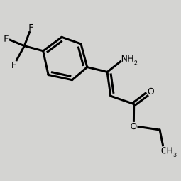 CCOC(=O)/C=C(\N)c1ccc(C(F)(F)F)cc1